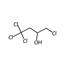 OC(CCl)CC(Cl)(Cl)Cl